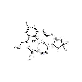 COCOc1cc(C)cc(/C=C/C[C@@H]2OC(C)(C)O[C@@H]2C(O)/C=C\[C@@H](C)[C@H](C)O)c1C(=O)O